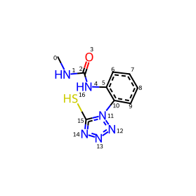 CNC(=O)Nc1ccccc1-n1nnnc1S